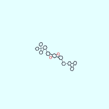 c1ccc(C2(c3ccccc3)c3ccccc3-c3c(-c4ccc5oc6cc7c(cc6c5c4)oc4ccc(-c5cccc(-c6ccc8c9ccccc9c9ccccc9c8c6)c5)cc47)cccc32)cc1